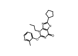 CCCn1c(Oc2cccnc2C)nc(=O)c2c1N=C(C1CCCC1)[N]2